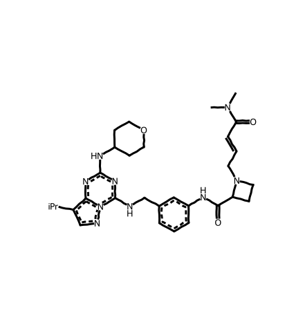 CC(C)c1cnn2c(NCc3cccc(NC(=O)C4CCN4CC=CC(=O)N(C)C)c3)nc(NC3CCOCC3)nc12